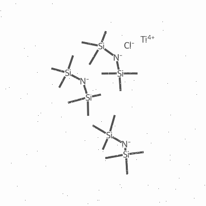 C[Si](C)(C)[N-][Si](C)(C)C.C[Si](C)(C)[N-][Si](C)(C)C.C[Si](C)(C)[N-][Si](C)(C)C.[Cl-].[Ti+4]